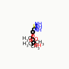 Cc1c(C)c2c(c(C)c1O)C(=O)CC(C)(COc1ccc(CC3SC(=N)NC3=N)cc1)O2